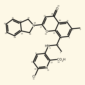 Cc1cc(C(C)Nc2ccc(Cl)nc2C(=O)O)c2oc(N3Cc4ccccc4C3)cc(=O)c2c1